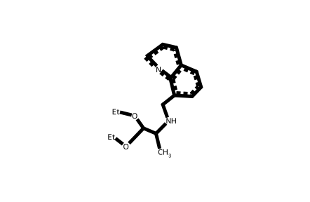 CCOC(OCC)C(C)NCc1cccc2cccnc12